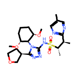 CO[C@H]1CCC[C@@H](OC)[C@@H]1n1c(NS(=O)(=O)[C@@H](C)[C@H](C)c2ncc(C)cn2)nnc1[C@@H]1CCOC1